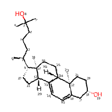 C[C@@H](CCCC(C)(C)O)[C@H]1CC[C@H]2C3=CC=C4C[C@@H](O)CC[C@]4(C)[C@H]3CC[C@]12C